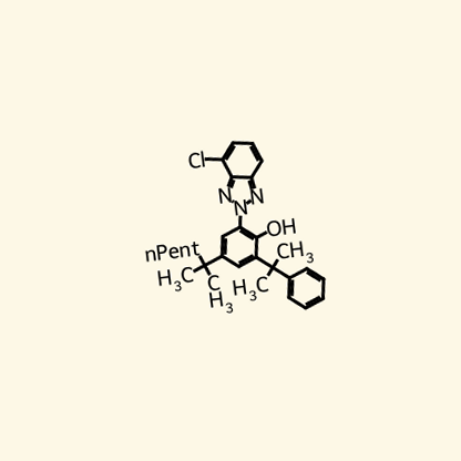 CCCCCC(C)(C)c1cc(-n2nc3cccc(Cl)c3n2)c(O)c(C(C)(C)c2ccccc2)c1